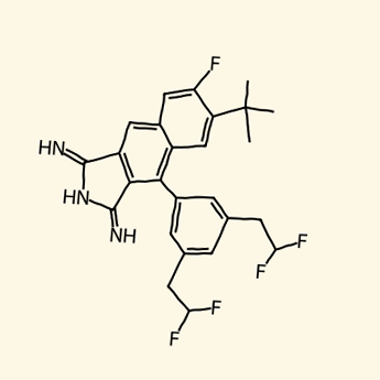 CC(C)(C)c1cc2c(-c3cc(CC(F)F)cc(CC(F)F)c3)c3c(cc2cc1F)C(=N)NC3=N